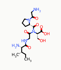 CC[C@H](C)[C@H](N)C(=O)NCC(=O)N(C(=O)[C@@H]1CCCN1C(=O)CN)[C@@H](CO)C(=O)O